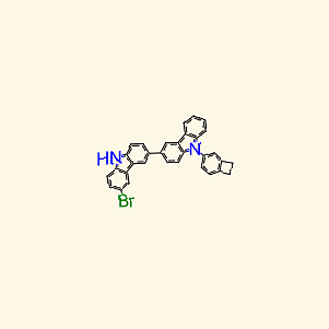 Brc1ccc2[nH]c3ccc(-c4ccc5c(c4)c4ccccc4n5-c4ccc5c(c4)CC5)cc3c2c1